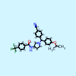 CC(C)Oc1ccc(C(c2ccc(C#N)cc2)N2CC[C@@H](NC(=O)c3ccc(C(F)(F)F)cc3)C2)cc1